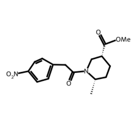 COC(=O)[C@@H]1CC[C@H](C)N(C(=O)Cc2ccc([N+](=O)[O-])cc2)C1